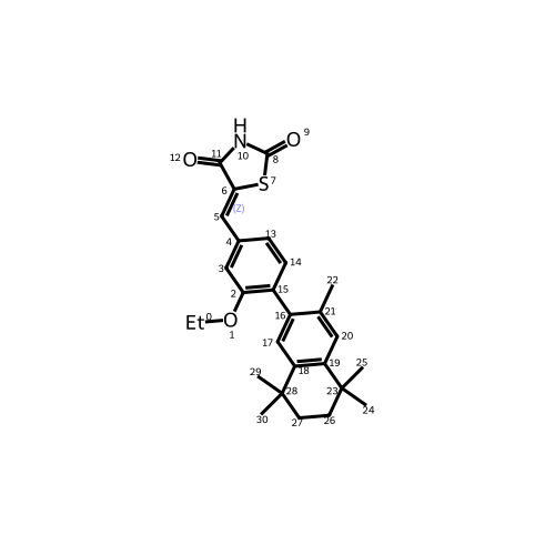 CCOc1cc(/C=C2\SC(=O)NC2=O)ccc1-c1cc2c(cc1C)C(C)(C)CCC2(C)C